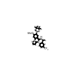 COc1cc2c(cc1B1OC(C)(C)C(C)(C)O1)c(NC(C)c1cccc(C(F)(F)F)c1)nc1ccnn12